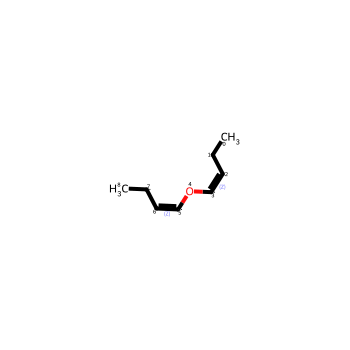 C[CH]/C=[C]\O/[C]=C\[CH]C